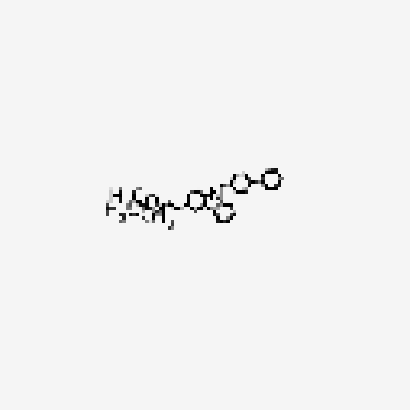 CC(C)(C)OC(=O)C=Cc1ccc2c(c1)c1ccccc1n2Cc1ccc(-c2ccccc2)cc1